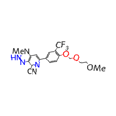 CNc1cc(-c2ccc(OCOCCOC)c(C(F)(F)F)c2)nc(C#N)c1N=N